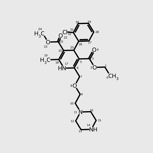 CCOC(=O)C1=C(COCCN2CCNCC2)NC(C)=C(C(=O)OC)C1c1ccccc1Cl